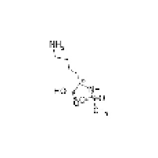 CS(=O)(=O)N[C@@H](CCCCN)C(=O)O